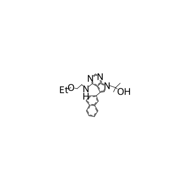 CCOCCNc1ncnc2c1c(-c1ccc3ccccc3c1)cn2CC(C)(C)O